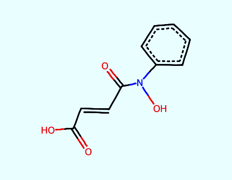 O=C(O)C=CC(=O)N(O)c1ccccc1